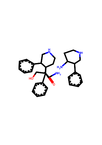 NC(=O)C(CO)(c1ccccc1)C1CCNCC1c1ccccc1.NC1CCNCC1c1ccccc1